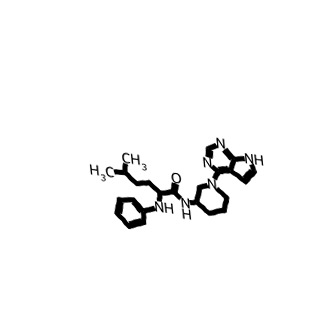 CC(C)CCC(Nc1ccccc1)C(=O)NC1CCCN(c2ncnc3[nH]ccc23)C1